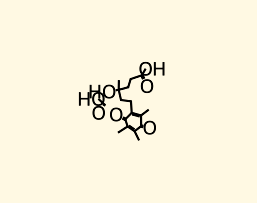 CC1=C(C)C(=O)C(CCC(C)(O)CCC(=O)O)=C(C)C1=O.O=CO